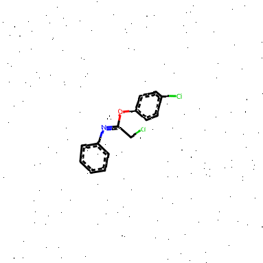 ClC/C(=N\c1ccccc1)Oc1ccc(Cl)cc1